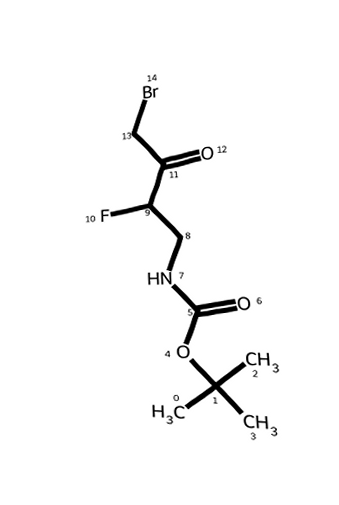 CC(C)(C)OC(=O)NCC(F)C(=O)CBr